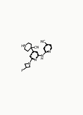 N#Cc1ccnc(Nc2cc(C3(C#N)CCNCC3)cc(N3CC(F)C3)n2)c1